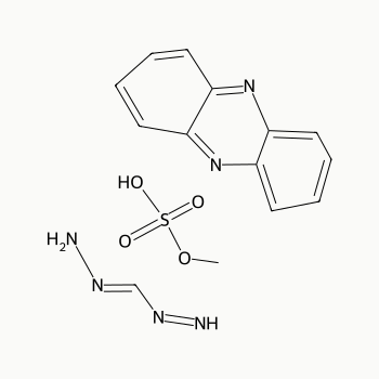 COS(=O)(=O)O.N=NC=NN.c1ccc2nc3ccccc3nc2c1